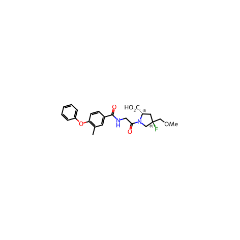 COC[C@@]1(F)C[C@@H](C(=O)O)N(C(=O)CNC(=O)c2ccc(Oc3ccccc3)c(C)c2)C1